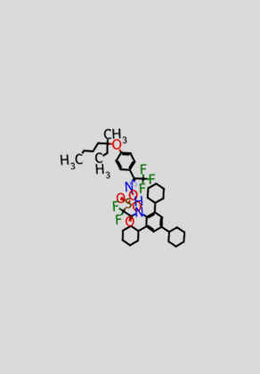 CCCCC(C)(CC)Oc1ccc(/C(=N/OS(=O)(=O)C(F)(F)C(=O)Nc2c(C3CCCCC3)cc(C3CCCCC3)cc2C2CCCCC2)C(F)(F)F)cc1